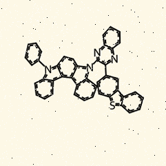 c1ccc(-n2c3ccccc3c3c4c5ccccc5n(-c5nc6ccccc6nc5-c5ccc6sc7ccccc7c6c5)c4ccc32)cc1